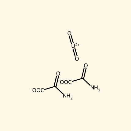 NC(=O)C(=O)[O-].NC(=O)C(=O)[O-].[O]=[U+2]=[O]